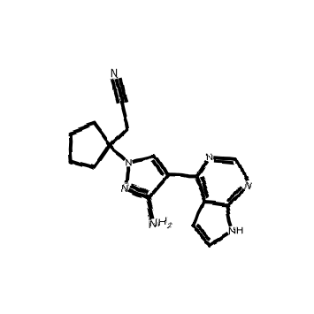 N#CCC1(n2cc(-c3ncnc4[nH]ccc34)c(N)n2)CCCC1